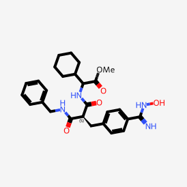 COC(=O)C(NC(=O)[C@@H](Cc1ccc(C(=N)NO)cc1)C(=O)NCc1ccccc1)C1CCCCC1